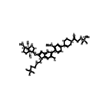 COc1cc(C2=CCN(C(=O)CO[Si](C)(C)C(C)(C)C)CC2)ccc1-c1nc2cc(O[C@@H]3CO[C@H]4[C@@H]3CC[C@H]4O)n(COCC[Si](C)(C)C)c2cc1F